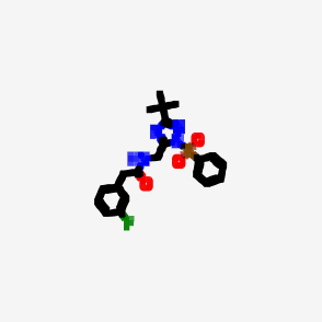 CC(C)(C)c1nc(CNC(=O)Cc2cccc(F)c2)n(S(=O)(=O)c2ccccc2)n1